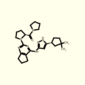 CC1(C)CC[C@H](c2cc(Nc3nc(N4CCC[C@H]4C(=O)N4CCCC4)nc4c3CCC4)n[nH]2)C1